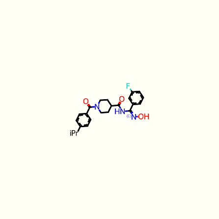 CC(C)c1ccc(C(=O)N2CCC(C(=O)N/C(=N/O)c3cccc(F)c3)CC2)cc1